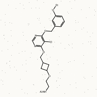 CCOc1cccc(COc2ncnc(OCC3CC(OCCNC(C)=O)C3)c2Cl)c1